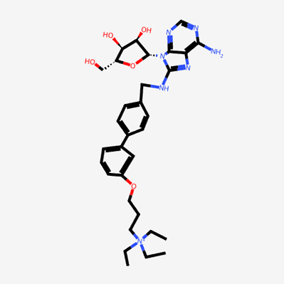 CC[N+](CC)(CC)CCCOc1cccc(-c2ccc(CNc3nc4c(N)ncnc4n3[C@@H]3O[C@H](CO)[C@@H](O)[C@H]3O)cc2)c1